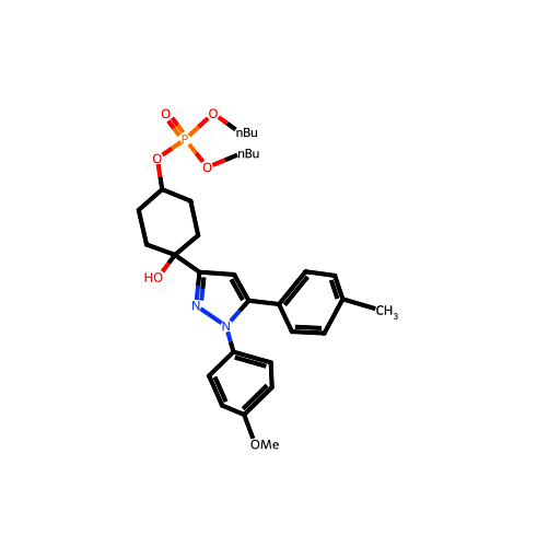 CCCCOP(=O)(OCCCC)OC1CCC(O)(c2cc(-c3ccc(C)cc3)n(-c3ccc(OC)cc3)n2)CC1